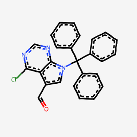 O=Cc1cn(C(c2ccccc2)(c2ccccc2)c2ccccc2)c2ncnc(Cl)c12